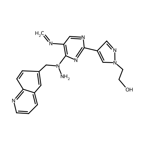 C=Nc1cnc(-c2cnn(CCO)c2)nc1N(N)Cc1ccc2ncccc2c1